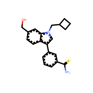 NC(=S)c1cccc(-c2cn(CC3CCC3)c3cc(CO)ccc23)c1